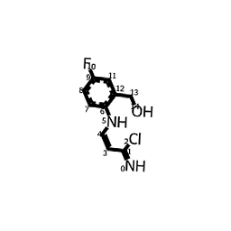 N=C(Cl)/C=C\Nc1ccc(F)cc1CO